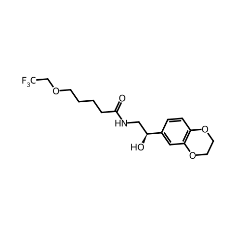 O=C(CCCCOCC(F)(F)F)NC[C@H](O)c1ccc2c(c1)OCCO2